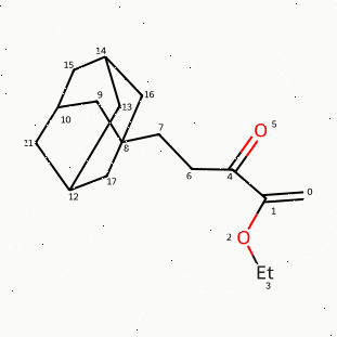 C=C(OCC)C(=O)CCC12CC3CC(CC(C3)C1)C2